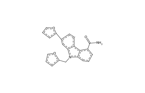 NC(=O)c1cccc2c1c1[c]cc(-c3ccco3)cc1n2Cc1ccco1